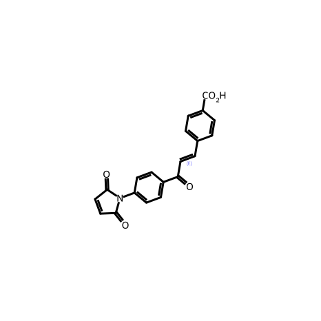 O=C(O)c1ccc(/C=C/C(=O)c2ccc(N3C(=O)C=CC3=O)cc2)cc1